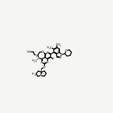 Cc1cc2c(cnn2C2CCCCO2)c(-c2nc3c4c(nc(OC[C@@]56CCCN5C[C@H](F)C6)nc4c2F)N(C)[C@@H](CCO)CO3)c1C